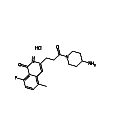 Cc1ccc(F)c2c(=O)[nH]c(CCC(=O)N3CCC(N)CC3)cc12.Cl